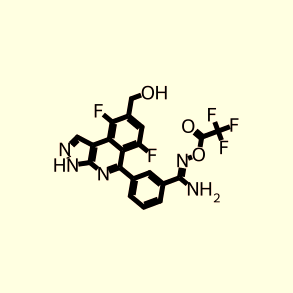 NC(=NOC(=O)C(F)(F)F)c1cccc(-c2nc3[nH]ncc3c3c(F)c(CO)cc(F)c23)c1